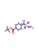 CC(C)(C)OC(=O)N1CCC(NS(N)(=O)=O)CC1